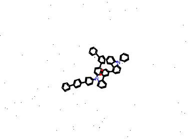 c1ccc(-c2ccc(-c3ccc(N(c4ccc(-c5cccc(-c6ccccc6)c5)cc4)c4ccccc4-c4cccc(-c5cccc6c5c5ccccc5n6-c5ccccc5)c4)cc3)cc2)cc1